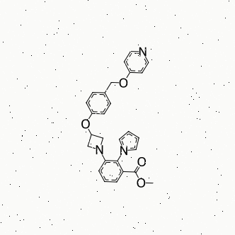 COC(=O)c1cccc(N2CC(Oc3ccc(COc4ccncc4)cc3)C2)c1-n1cccc1